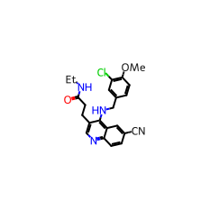 CCNC(=O)CCc1cnc2ccc(C#N)cc2c1NCc1ccc(OC)c(Cl)c1